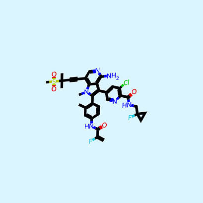 C=C(F)C(=O)Nc1ccc(-c2c(-c3cnc(C(=O)NCC4(F)CC4)c(Cl)c3)c3c(N)ncc(C#CC(C)(C)S(C)(=O)=O)c3n2C)c(C)c1